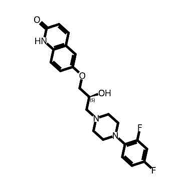 O=c1ccc2cc(OC[C@@H](O)CN3CCN(c4ccc(F)cc4F)CC3)ccc2[nH]1